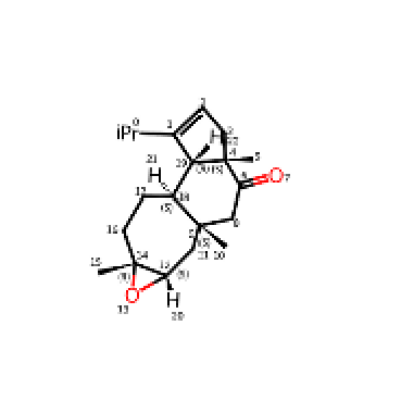 CC(C)C1=CC[C@]2(C)C(=O)C[C@]3(C)C[C@@H]4O[C@]4(C)CC[C@H]3[C@H]12